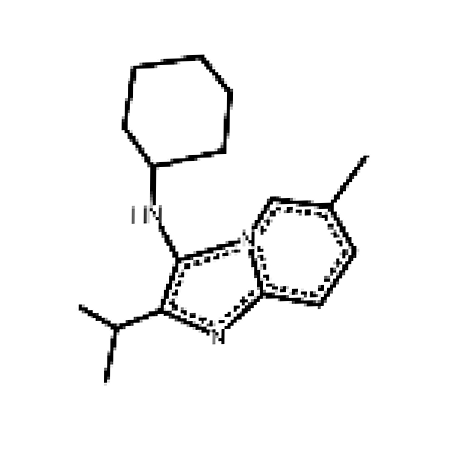 Cc1ccc2nc(C(C)C)c(NC3CCCCC3)n2c1